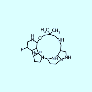 CC1(C)CNCC2CNN3CCC(NC23)N2CCC[C@@H]2C2CC(F)CNC2OC1